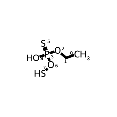 CCOP(O)(=S)OS